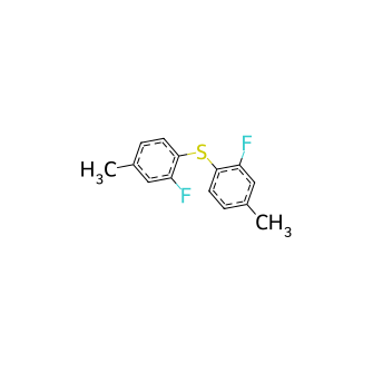 Cc1ccc(Sc2ccc(C)cc2F)c(F)c1